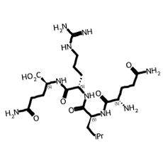 CC(C)C[C@H](NC(=O)[C@@H](N)CCC(N)=O)C(=O)N[C@@H](CCCNC(=N)N)C(=O)N[C@@H](CCC(N)=O)C(=O)O